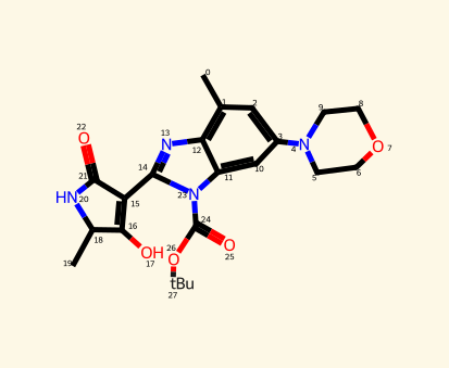 Cc1cc(N2CCOCC2)cc2c1nc(C1=C(O)C(C)NC1=O)n2C(=O)OC(C)(C)C